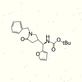 CC(C)(C)OC(=O)N[C@@H](c1ccco1)C1CC(=O)N(Cc2ccccc2)C1